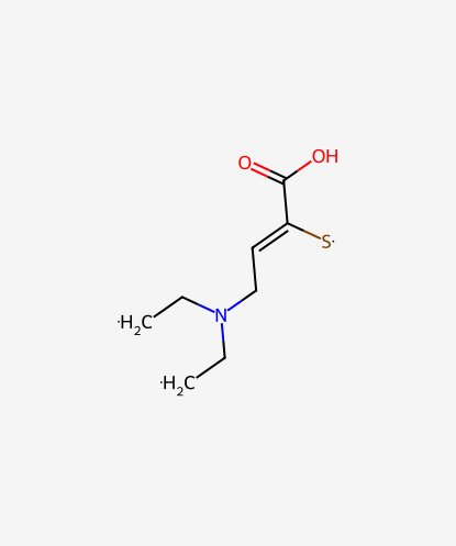 [CH2]CN(C[CH2])C/C=C(\[S])C(=O)O